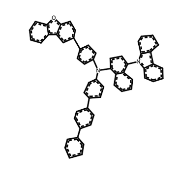 c1ccc(-c2ccc(-c3ccc(N(c4ccc(-c5ccc6oc7ccccc7c6c5)cc4)c4ccc(-n5c6ccccc6c6ccccc65)c5ccccc45)cc3)cc2)cc1